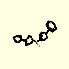 ClB(c1ccc(-c2ccccc2)cc1)c1ccc(-c2ccccc2)cc1